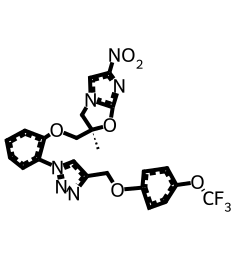 C[C@]1(COc2ccccc2-n2cc(COc3ccc(OC(F)(F)F)cc3)nn2)Cn2cc([N+](=O)[O-])nc2O1